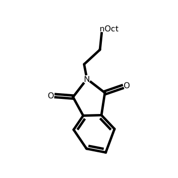 CCCCCCCCCCN1C(=O)c2ccccc2C1=O